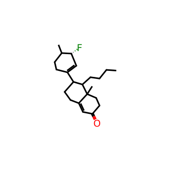 CCCCC1C(C2=C[C@@H](F)C(C)CC2)CCC2=CC(=O)CCC21C